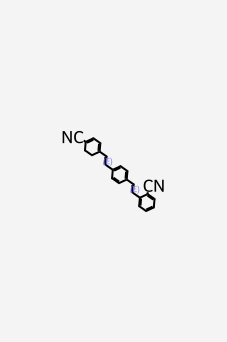 N#CC1=CC=C(/C=C/c2ccc(/C=C/c3ccccc3C#N)cc2)CC1